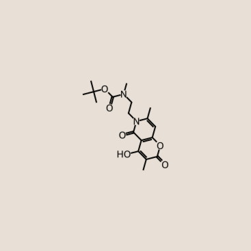 Cc1c(O)c2c(=O)n(CCN(C)C(=O)OC(C)(C)C)c(C)cc2oc1=O